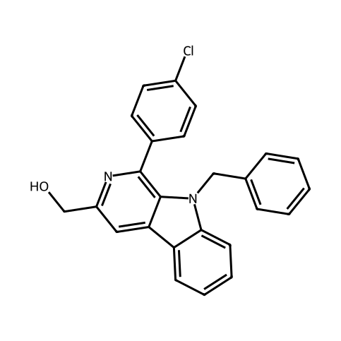 OCc1cc2c3ccccc3n(Cc3ccccc3)c2c(-c2ccc(Cl)cc2)n1